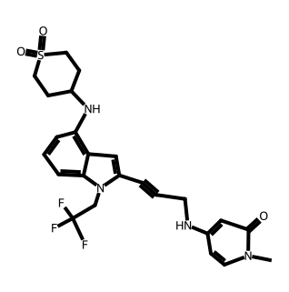 Cn1ccc(NCC#Cc2cc3c(NC4CCS(=O)(=O)CC4)cccc3n2CC(F)(F)F)cc1=O